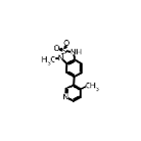 Cc1ccncc1-c1ccc2c(c1)N(C)S(=O)(=O)N2